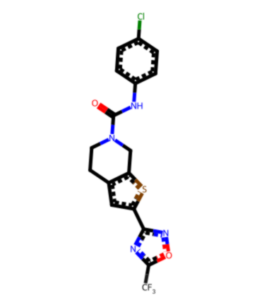 O=C(Nc1ccc(Cl)cc1)N1CCc2cc(-c3noc(C(F)(F)F)n3)sc2C1